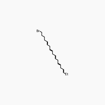 CCC=CCC=CCC=CCC=CCC=CCCCCBr